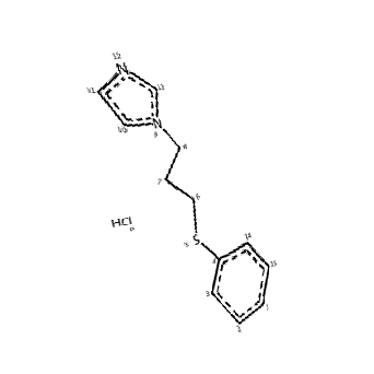 Cl.c1ccc(SCCCn2ccnc2)cc1